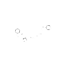 O=C(NCCC1CCN(C(=O)c2ccncc2)CC1)Oc1n[nH]c(NC(=O)c2ccccc2Cl)c1Br